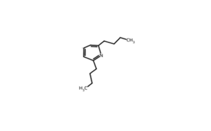 CCCCc1c[c]cc(CCCC)n1